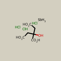 Cl.Cl.Cl.O=C(O)CC(O)(CC(=O)O)C(=O)O.[SbH3]